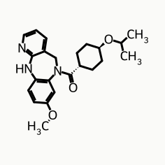 COc1ccc2c(c1)N(C(=O)[C@H]1CC[C@H](OC(C)C)CC1)Cc1cccnc1N2